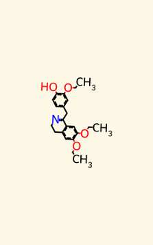 CCOc1cc(CC2=NCCc3cc(OCC)c(OCC)cc32)ccc1O